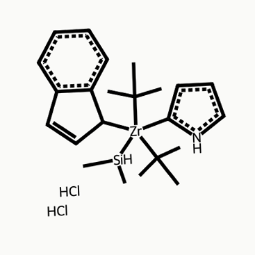 C[SiH](C)[Zr]([c]1ccc[nH]1)([CH]1C=Cc2ccccc21)([C](C)(C)C)[C](C)(C)C.Cl.Cl